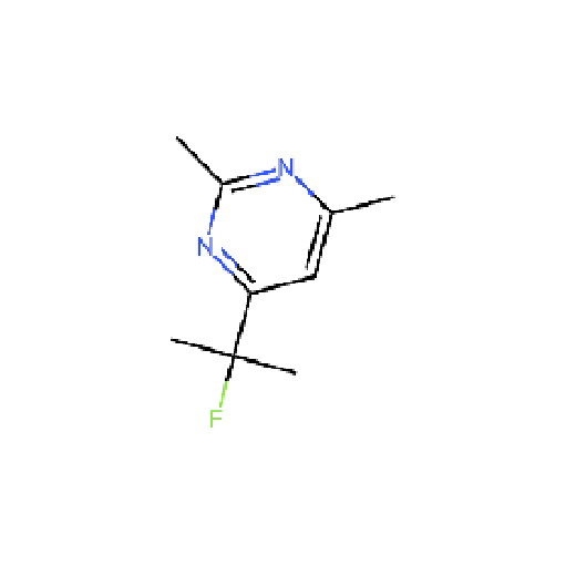 Cc1cc(C(C)(C)F)nc(C)n1